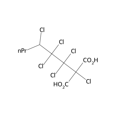 CCCC(Cl)C(Cl)(Cl)C(Cl)(Cl)C(Cl)(C(=O)O)C(=O)O